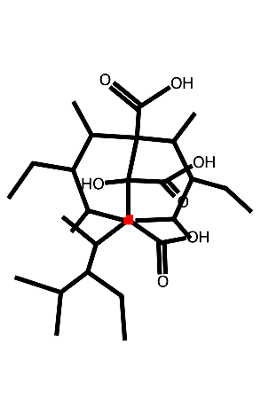 CCC(C(C)C)C(C)C(C(=O)O)C(O)(C(=O)O)C(C(=O)O)(C(C)C(CC)C(C)C)C(C)C(CC)C(C)C